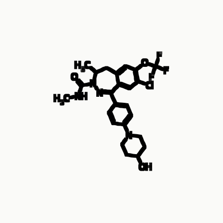 CNC(=O)N1N=C(c2ccc(N3CCC(O)CC3)cc2)c2cc(Cl)c(OC(F)(F)F)cc2CC1C